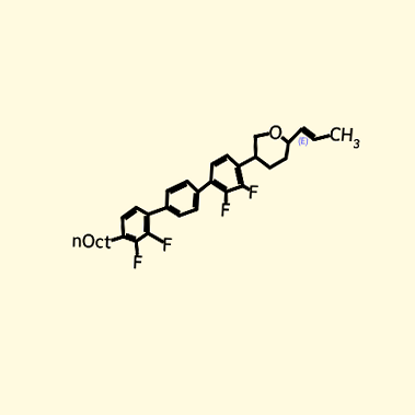 C/C=C/C1CCC(c2ccc(-c3ccc(-c4ccc(CCCCCCCC)c(F)c4F)cc3)c(F)c2F)CO1